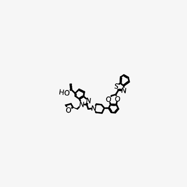 C=C(O)c1ccc2nc(CN3CCC(c4cccc5c4OCC(c4nc6ccccc6s4)O5)CC3)n(C[C@@H]3CCO3)c2c1